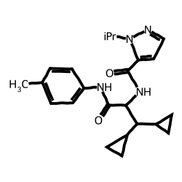 Cc1ccc(NC(=O)C(NC(=O)c2ccnn2C(C)C)C(C2CC2)C2CC2)cc1